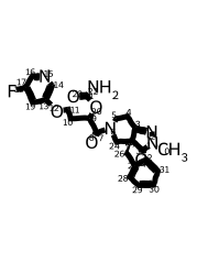 CN1N=C2CCN(C(=O)C(CCOc3cncc(F)c3)OC(N)=O)C[C@@]2(Cc2ccccc2)C1=O